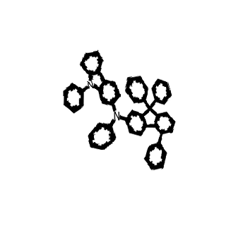 c1ccc(-c2cccc3c2-c2ccc(N(c4ccccc4)c4ccc5c6ccccc6n(-c6ccccc6)c5c4)cc2C3(c2ccccc2)c2ccccc2)cc1